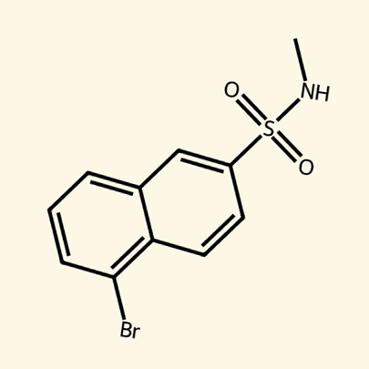 CNS(=O)(=O)c1ccc2c(Br)cccc2c1